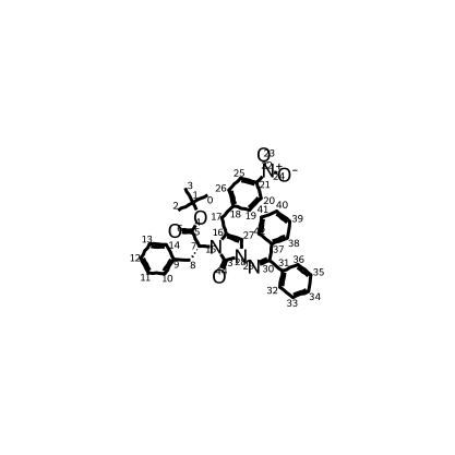 CC(C)(C)OC(=O)[C@@H](Cc1ccccc1)n1c(Cc2ccc([N+](=O)[O-])cc2)cn(N=C(c2ccccc2)c2ccccc2)c1=O